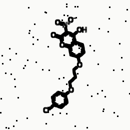 O=c1oc2cc(OCCCOc3ccc(Cl)cc3)ccc2c(O)c1[N+](=O)[O-]